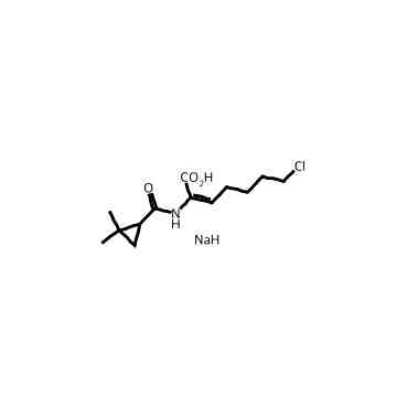 CC1(C)CC1C(=O)N/C(=C/CCCCCl)C(=O)O.[NaH]